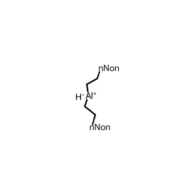 CCCCCCCCCC[CH2][Al+][CH2]CCCCCCCCCC.[H-]